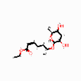 CCOC(=O)/C=C\CC[C@@H](C)OC1O[C@@H](C)C(O)C[C@H]1O